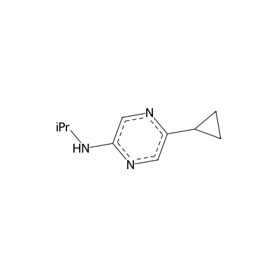 CC(C)Nc1cnc(C2CC2)cn1